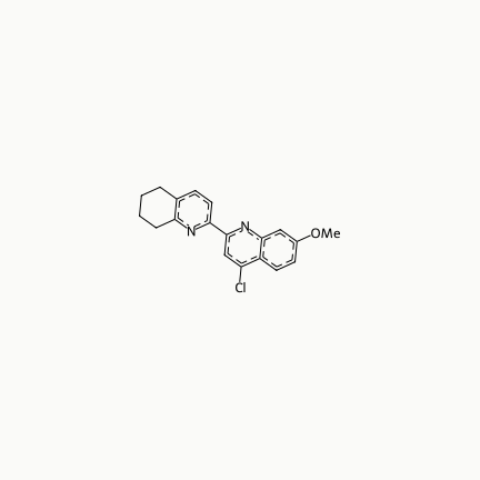 COc1ccc2c(Cl)cc(-c3ccc4c(n3)CCCC4)nc2c1